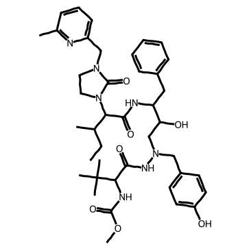 CCC(C)C(C(=O)NC(Cc1ccccc1)C(O)CN(Cc1ccc(O)cc1)NC(=O)C(NC(=O)OC)C(C)(C)C)N1CCN(Cc2cccc(C)n2)C1=O